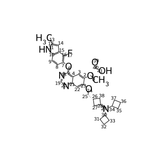 COc1cc2c(Oc3ccc4[nH]c(C)cc4c3F)ncnc2cc1OC[C@H]1C[C@H](N(C2CCC2)C2CCC2)C1.O=CO